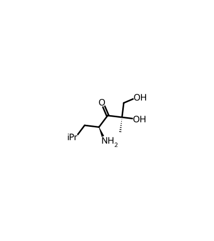 CC(C)C[C@H](N)C(=O)[C@](C)(O)CO